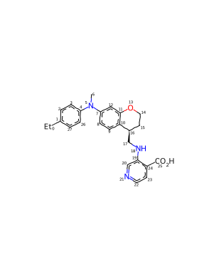 CCc1ccc(N(C)c2ccc3c(c2)OCC[C@H]3CNc2cnccc2C(=O)O)cc1